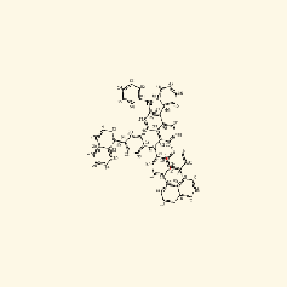 c1ccc(-c2cccc3cccc(-c4ccc(N(c5ccc(-c6cccc7ccccc67)cc5)c5cccc6c5ccc5c6c6ccccc6n5-c5ccccc5)cc4)c23)cc1